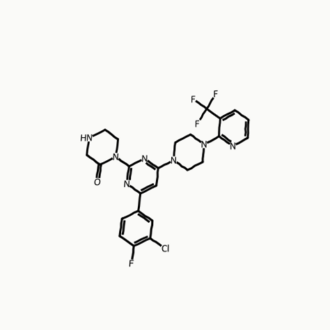 O=C1CNCCN1c1nc(-c2ccc(F)c(Cl)c2)cc(N2CCN(c3ncccc3C(F)(F)F)CC2)n1